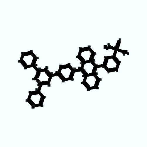 CP(C)(=O)c1cccc(-c2c3ccccc3c(-c3ccc(-c4nc(-c5ccccc5)nc(-c5ccccc5)n4)cc3)c3ccccc23)c1